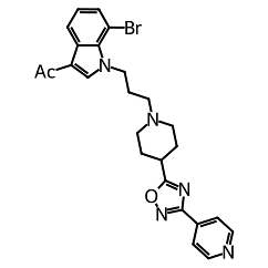 CC(=O)c1cn(CCCN2CCC(c3nc(-c4ccncc4)no3)CC2)c2c(Br)cccc12